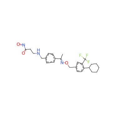 C/C(=N\OCc1ccc(C2CCCCC2)c(C(F)(F)F)c1)c1ccc(CNCCC(=O)N=O)cc1